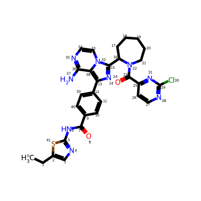 CCc1cnc(NC(=O)c2ccc(-c3nc(C4CCCCCN4C(=O)c4ccnc(Cl)n4)n4ccnc(N)c34)cc2)s1